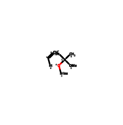 C=CCC.CCCCCCO[Si](C)(CCC)OC